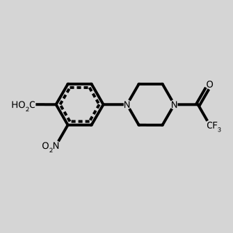 O=C(O)c1ccc(N2CCN(C(=O)C(F)(F)F)CC2)cc1[N+](=O)[O-]